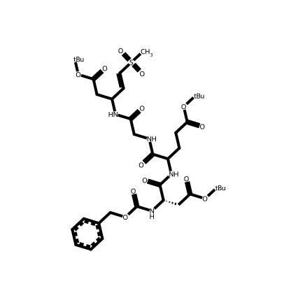 CC(C)(C)OC(=O)CCC(NC(=O)[C@H](CC(=O)OC(C)(C)C)NC(=O)OCc1ccccc1)C(=O)NCC(=O)NC(/C=C/S(C)(=O)=O)CC(=O)OC(C)(C)C